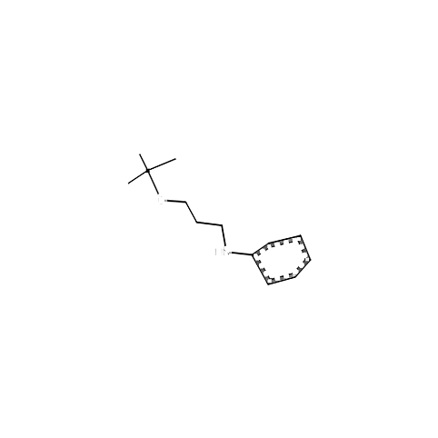 CC(C)(C)OCCCNc1ccccc1